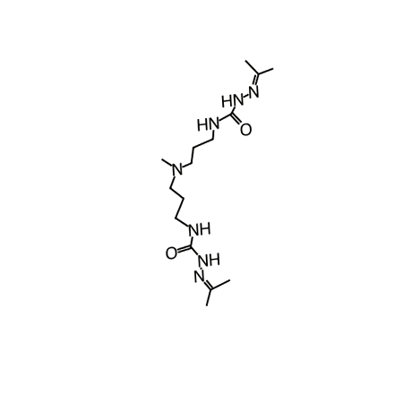 CC(C)=NNC(=O)NCCCN(C)CCCNC(=O)NN=C(C)C